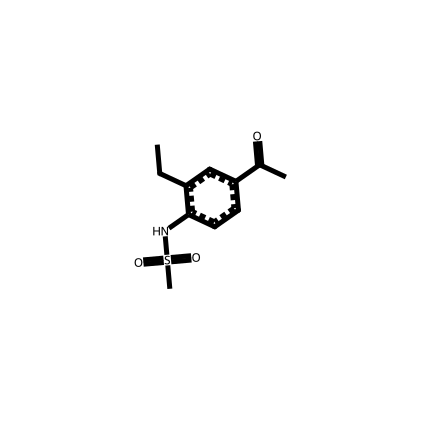 CCc1cc(C(C)=O)ccc1NS(C)(=O)=O